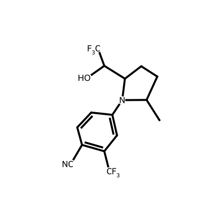 CC1CCC(C(O)C(F)(F)F)N1c1ccc(C#N)c(C(F)(F)F)c1